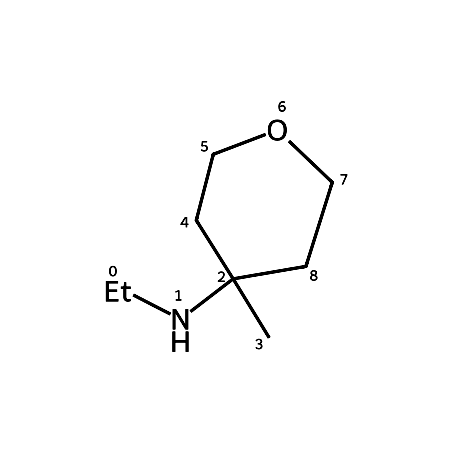 CCNC1(C)CCOCC1